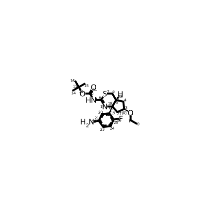 CCO[C@@H]1C[C@H]2CSC(NC(=O)OC(C)(C)C)=N[C@@]2(c2cc(N)ccc2F)C1